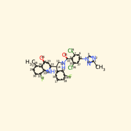 Cc1ncn(-c2cc(Cl)c(C(=O)NCC(c3cccc(F)c3)c3cc(=O)c4c(C)ccc(F)c4[nH]3)c(Cl)c2)n1